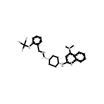 CN(C)c1cc(N[C@H]2CC[C@@H](CNCc3ccccc3SC(F)(F)F)CC2)nc2ccccc12